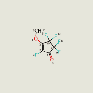 COC1=C(F)C(=O)C(F)(F)C1(F)F